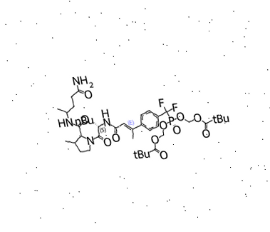 CCCC[C@H](NC(=O)/C=C(\C)c1ccc(C(F)(F)P(=O)(OCOC(=O)C(C)(C)C)OCOC(=O)C(C)(C)C)cc1)C(=O)N1CCC(C)C1C(=O)NC(C)CCC(N)=O